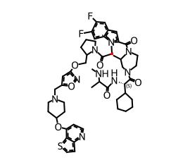 CNC(C)C(=O)N[C@H](C(=O)N1CCN(C(=O)c2cc3cc(F)c(F)cc3n2CC(=O)N2CCCC2COc2cc(CN3CCC(Oc4ccnc5ccsc45)CC3)on2)C(C)C1)C1CCCCC1